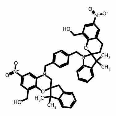 CC1(C)c2ccccc2CC12CN(Cc1ccc(CN3c4ccccc4C(C)(C)C34CCc3cc([N+](=O)[O-])cc(CO)c3O4)cc1)c1cc([N+](=O)[O-])cc(CO)c1O2